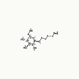 OC[C@H]1O[C@@H](OCCCCC=S)[C@H](O)[C@@H](O)[C@@H]1O